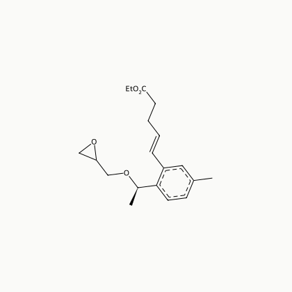 CCOC(=O)CC/C=C/c1cc(C)ccc1[C@@H](C)OCC1CO1